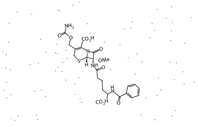 CO[C@@]1(NC(=O)CCCC(NC(=O)c2ccccc2)C(=O)O)C(=O)N2C(C(=O)O)=C(COC(N)=O)CS[C@H]21